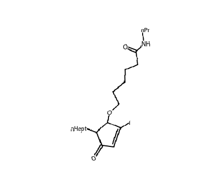 CCCCCCCC1C(=O)C=C(I)C1OCCCCCC(=O)NCCC